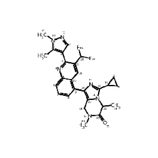 Cc1c(-c2nc3cccc(-c4nc(C5CC5)n5c4CN(C)C(=O)C5C)c3cc2C(F)F)cnn1C